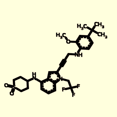 COc1cc(C(C)(C)C)ccc1NCC#Cc1cc2c(NC3CCS(=O)(=O)CC3)cccc2n1CC(F)(F)F